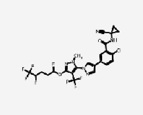 Cn1nc(OC(F)CCC(F)C(F)(F)F)c(C(F)(F)F)c1-n1cc(-c2ccc(Cl)c(C(=O)NC3(C#N)CC3)c2)cn1